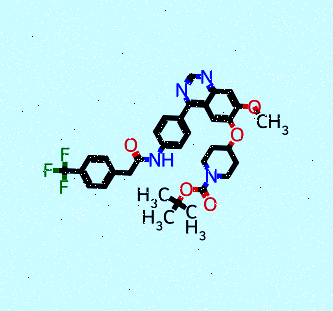 COc1cc2ncnc(-c3ccc(NC(=O)Cc4ccc(C(F)(F)F)cc4)cc3)c2cc1OC1CCN(C(=O)OC(C)(C)C)CC1